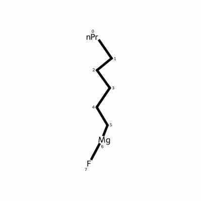 CCCCCCC[CH2][Mg][F]